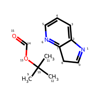 C1=Nc2cccnc2C1.CC(C)(C)OC=O